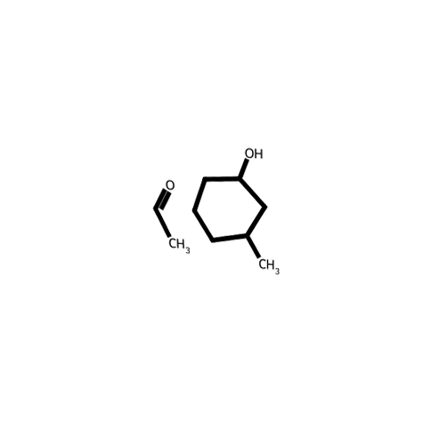 CC1CCCC(O)C1.CC=O